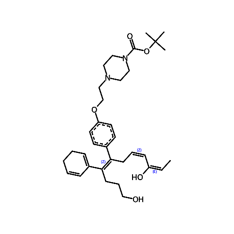 C/C=C(O)\C=C/C/C(=C(\CCCO)C1=CCCC=C1)c1ccc(OCCN2CCN(C(=O)OC(C)(C)C)CC2)cc1